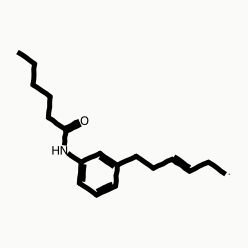 [CH2]CC=CCCc1cccc(NC(=O)CCCCC)c1